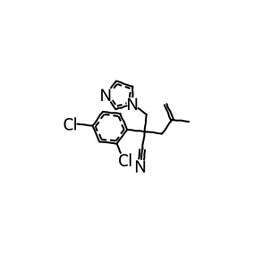 C=C(C)CC(C#N)(Cn1ccnc1)c1ccc(Cl)cc1Cl